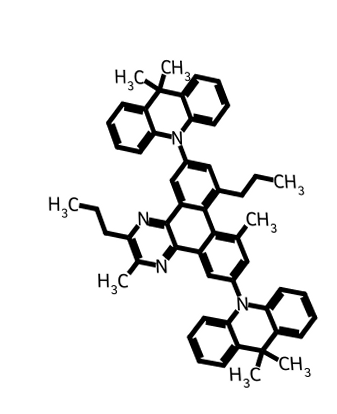 CCCc1nc2c3cc(N4c5ccccc5C(C)(C)c5ccccc54)cc(CCC)c3c3c(C)cc(N4c5ccccc5C(C)(C)c5ccccc54)cc3c2nc1C